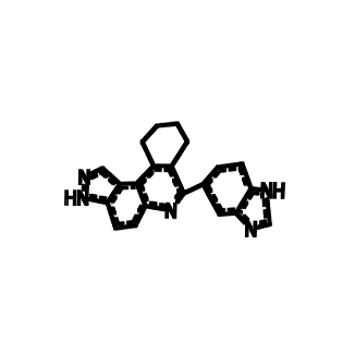 c1nc2cc(-c3nc4ccc5[nH]ncc5c4c4c3CCCC4)ccc2[nH]1